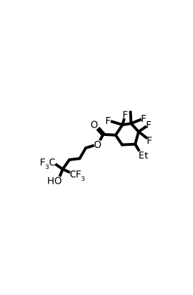 CCC1CC(C(=O)OCCCC(O)(C(F)(F)F)C(F)(F)F)C(F)(F)C(C)(F)C1(F)F